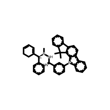 CN(NC(=N)c1cccc(-n2c3ccccc3c3ccc4c(c32)C(C)(C)c2ccccc2-4)c1)[C@H](C1=CC=CCC1)c1ccccc1